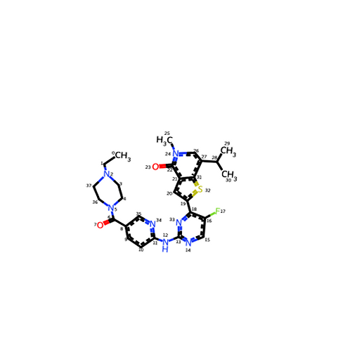 CCN1CCN(C(=O)c2ccc(Nc3ncc(F)c(-c4cc5c(=O)n(C)cc(C(C)C)c5s4)n3)nc2)CC1